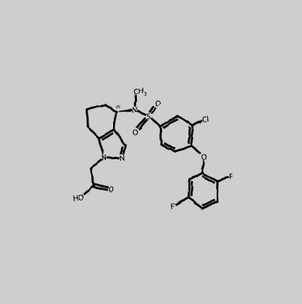 CN([C@@H]1CCCc2c1cnn2CC(=O)O)S(=O)(=O)c1ccc(Oc2cc(F)ccc2F)c(Cl)c1